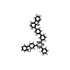 C1=CC2c3ccccc3OC2C=C1c1nc(-c2ccccc2)nc(-c2cccc(-c3ccc(-c4cccc5c4sc4ccccc45)cc3)c2)n1